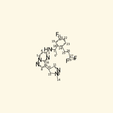 CC(Nc1ccn2ncc(C3C=NN(C)C3)c2n1)c1cc(F)ccc1CCC(F)F